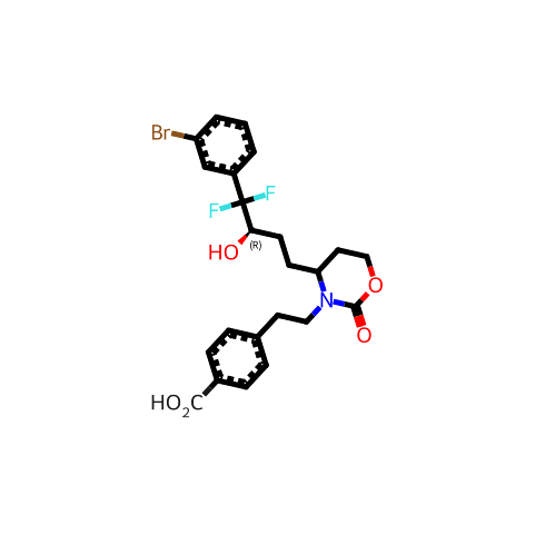 O=C(O)c1ccc(CCN2C(=O)OCCC2CC[C@@H](O)C(F)(F)c2cccc(Br)c2)cc1